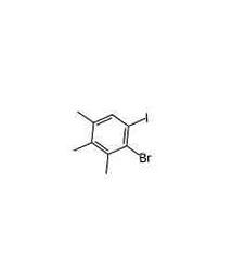 Cc1cc(I)c(Br)c(C)c1C